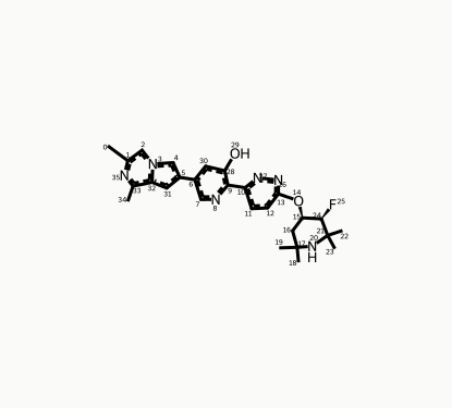 Cc1cn2cc(-c3cnc(-c4ccc(O[C@@H]5CC(C)(C)NC(C)(C)[C@@H]5F)nn4)c(O)c3)cc2c(C)n1